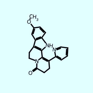 COc1ccc2[nH]c3c(c2c1)CCN1C(=O)CCC(c2ccccn2)=C31